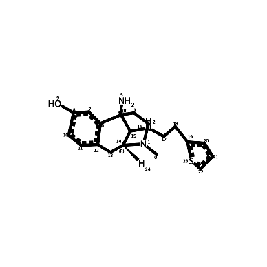 CN1CC[C@@]2(N)c3cc(O)ccc3C[C@@H]1C2NCCc1cccs1